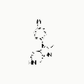 Cc1nc2c(n1-c1ccc(C(C)C)cc1)C=CNC2